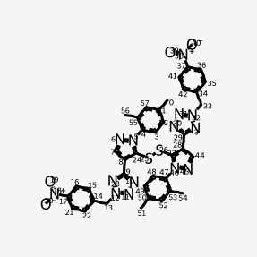 Cc1ccc(-n2ncc(-c3nnn(Cc4ccc([N+](=O)[O-])cc4)n3)c2SSc2c(-c3nnn(Cc4ccc([N+](=O)[O-])cc4)n3)cnn2-c2ccc(C)cc2C)c(C)c1